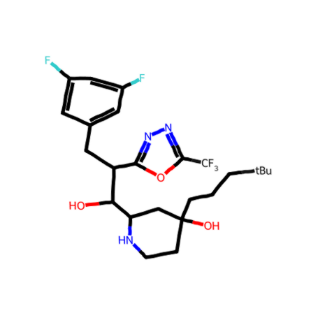 CC(C)(C)CCCC1(O)CCNC(C(O)C(Cc2cc(F)cc(F)c2)c2nnc(C(F)(F)F)o2)C1